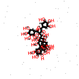 O=C(C(=O)C(O)(C(=O)c1cc(O)c(O)c(O)c1)C(O)C(O)(C(=O)c1cc(O)c(O)c(O)c1)C(O)(C(=O)c1cc(O)c(O)c(O)c1)C(O)C(=O)c1cc(O)c(O)c(O)c1)c1cc(O)c(O)c(O)c1